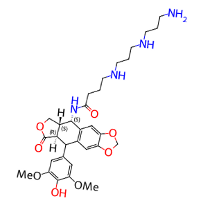 COc1cc(C2c3cc4c(cc3[C@@H](NC(=O)CCCNCCCNCCCN)[C@H]3COC(=O)[C@H]23)OCO4)cc(OC)c1O